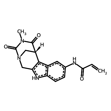 C=CC(=O)Nc1ccc2[nH]c3c(c2c1)[C@@H]1CN(C3)C(=O)N(C)C1=O